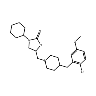 COc1ccc(Cl)c(CC2CCN(CC3CN(C4CCCCC4)C(=O)O3)CC2)c1